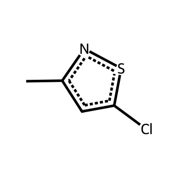 Cc1cc(Cl)sn1